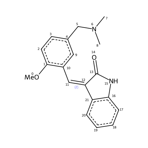 COc1ccc(CN(C)C)cc1/C=C1\C(=O)Nc2ccccc21